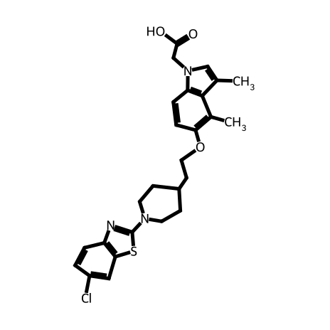 Cc1cn(CC(=O)O)c2ccc(OCCC3CCN(c4nc5ccc(Cl)cc5s4)CC3)c(C)c12